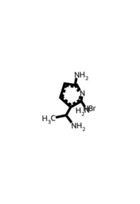 Br.CC(N)c1ccc(N)nc1N